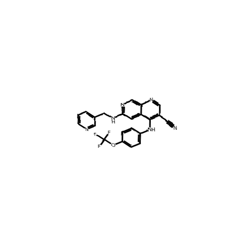 N#Cc1cnc2cnc(NCc3cccnc3)cc2c1Nc1ccc(OC(F)(F)F)cc1